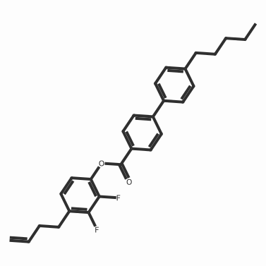 C=CCCc1ccc(OC(=O)c2ccc(-c3ccc(CCCCC)cc3)cc2)c(F)c1F